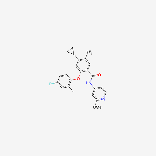 COc1cc(NC(=O)c2cc(C(F)(F)F)c(C3CC3)cc2Oc2ccc(F)cc2C)ccn1